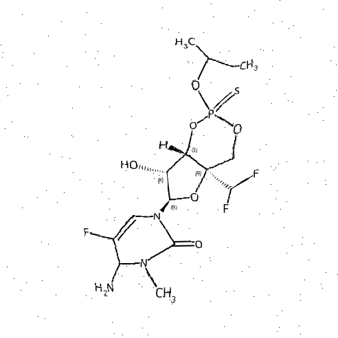 CC(C)OP1(=S)OC[C@@]2(C(F)F)O[C@@H](N3C=C(F)C(N)N(C)C3=O)[C@H](O)[C@@H]2O1